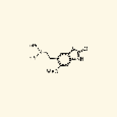 CCCN(CCC)CCc1cc2sc(=O)[nH]c2cc1OC